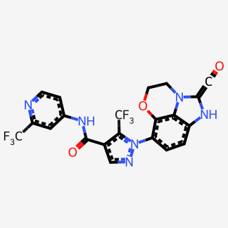 O=C=C1Nc2ccc(-n3ncc(C(=O)Nc4ccnc(C(F)(F)F)c4)c3C(F)(F)F)c3c2N1CCO3